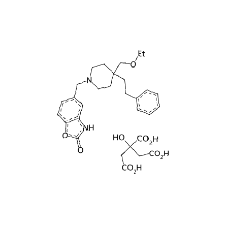 CCOCC1(CCc2ccccc2)CCN(Cc2ccc3oc(=O)[nH]c3c2)CC1.O=C(O)CC(O)(CC(=O)O)C(=O)O